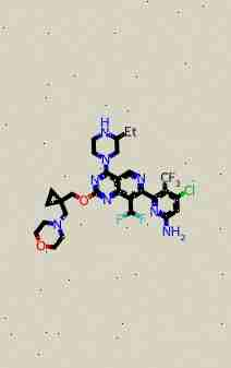 CCC1CN(c2nc(OCC3(CN4CCOCC4)CC3)nc3c(C(F)F)c(-c4nc(N)cc(Cl)c4C(F)(F)F)ncc23)CCN1